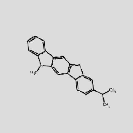 CC(C)c1ccc2c(c1)sc1cc3c4ccccc4n(C)c3cc12